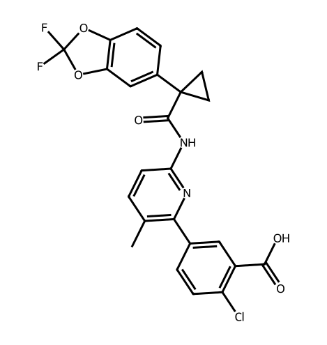 Cc1ccc(NC(=O)C2(c3ccc4c(c3)OC(F)(F)O4)CC2)nc1-c1ccc(Cl)c(C(=O)O)c1